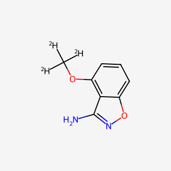 [2H]C([2H])([2H])Oc1cccc2onc(N)c12